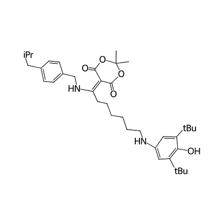 CC(C)Cc1ccc(CNC(CCCCCCNc2cc(C(C)(C)C)c(O)c(C(C)(C)C)c2)=C2C(=O)OC(C)(C)OC2=O)cc1